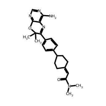 CN(C)C(=O)C=C1CCC(c2ccc(C3=Nc4c(N)ncnc4OC3(C)C)cc2)CC1